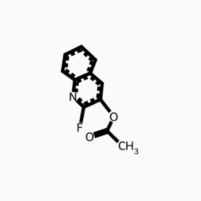 CC(=O)Oc1cc2ccccc2nc1F